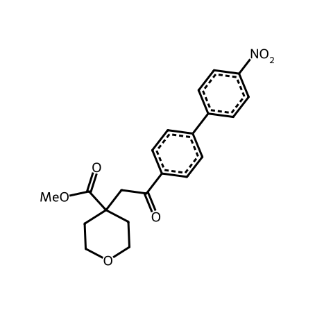 COC(=O)C1(CC(=O)c2ccc(-c3ccc([N+](=O)[O-])cc3)cc2)CCOCC1